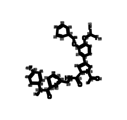 CC(=O)N1CC(c2ccc(OC(F)F)c(OCc3ccccc3)c2)=C[C@@H]1C(=O)NCc1cccc(C(=O)N(C)c2ccc(F)cc2)n1